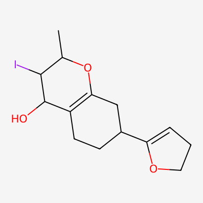 CC1OC2=C(CCC(C3=CCCO3)C2)C(O)C1I